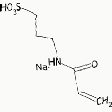 C=CC(=O)NCCCS(=O)(=O)O.[Na]